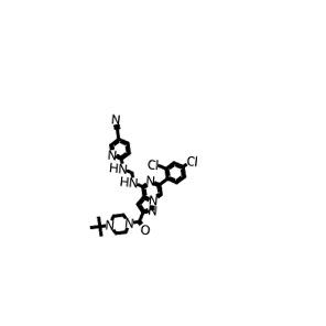 CC(C)(C)N1CCN(C(=O)c2cc3c(NCNc4ccc(C#N)cn4)nc(-c4ccc(Cl)cc4Cl)cn3n2)CC1